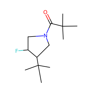 CC(C)(C)C(=O)N1CC(F)C(C(C)(C)C)C1